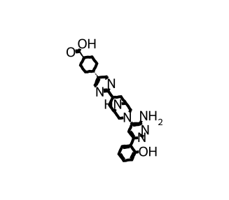 Nc1nnc(-c2ccccc2O)cc1N1CC2CC(c3ncc([C@H]4CC[C@H](C(=O)O)CC4)cn3)CC(C1)N2